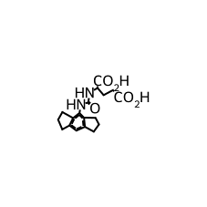 O=C(O)CCC(NC(=O)Nc1c2c(cc3c1CCC3)CCC2)C(=O)O